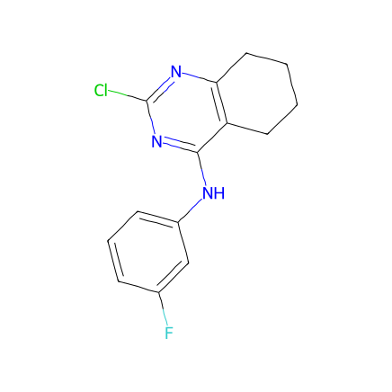 Fc1cccc(Nc2nc(Cl)nc3c2CCCC3)c1